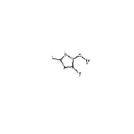 CCOC1OC(C)CC1C(C)C